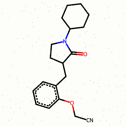 N#CCOc1ccccc1CC1CCN(C2CCCCC2)C1=O